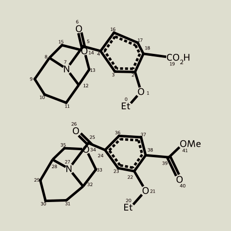 CCOc1cc(C(=O)N2C3CCCC2COC3)ccc1C(=O)O.CCOc1cc(C(=O)N2C3CCCC2COC3)ccc1C(=O)OC